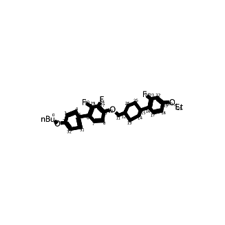 CCCCOc1ccc(-c2ccc(OCC3CCC(c4ccc(OCC)cc4F)CC3)c(F)c2F)cc1